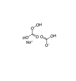 O=C(O)OO.O=C([O-])O.[Na+]